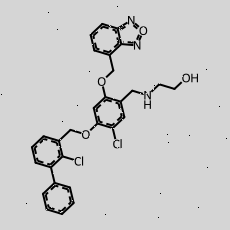 OCCNCc1cc(Cl)c(OCc2cccc(-c3ccccc3)c2Cl)cc1OCc1cccc2nonc12